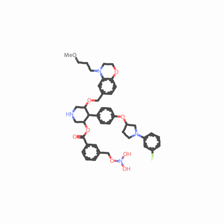 COCCCN1CCOc2ccc(COC3CNCC(OC(=O)c4cccc(CON(O)O)c4)C3c3ccc(OC4CCN(c5cccc(F)c5)C4)cc3)cc21